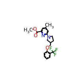 COC(=O)c1cc(C)cc(N2CCC(COc3ccccc3C(F)(F)F)C2)n1